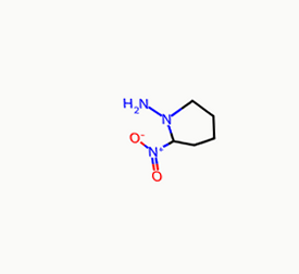 NN1CCCCC1[N+](=O)[O-]